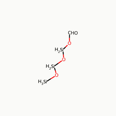 O=CO[SiH2]O[SiH2]O[SiH3]